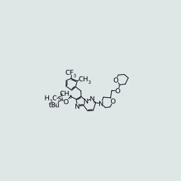 Cc1c(Cc2c(CO[Si](C)(C)C(C)(C)C)nc3ccc(N4CCOC(COC5CCCCO5)C4)nn23)cccc1C(F)(F)F